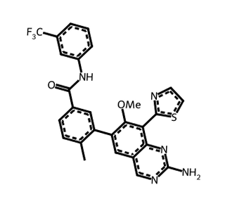 COc1c(-c2cc(C(=O)Nc3cccc(C(F)(F)F)c3)ccc2C)cc2cnc(N)nc2c1-c1nccs1